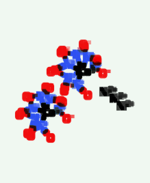 O=[N+]([O-])[Co-3]([N+](=O)[O-])([N+](=O)[O-])([N+](=O)[O-])([N+](=O)[O-])[N+](=O)[O-].O=[N+]([O-])[Co-3]([N+](=O)[O-])([N+](=O)[O-])([N+](=O)[O-])([N+](=O)[O-])[N+](=O)[O-].[Ni+2].[Ni+2].[Ni+2]